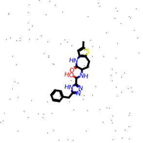 Cc1cc2c(s1)CCC(NC(O)c1nnc(Cc3ccccc3)[nH]1)C(=O)N2